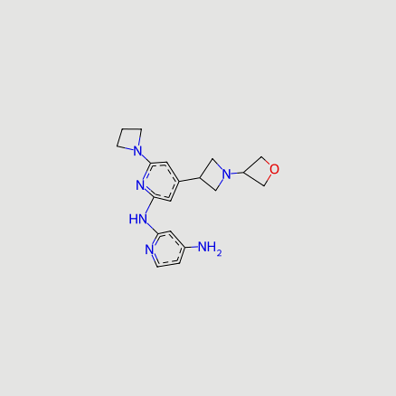 Nc1ccnc(Nc2cc(C3CN(C4COC4)C3)cc(N3CCC3)n2)c1